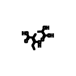 CC(O)C(=O)O.CCC(O)=C(C)C(=O)O